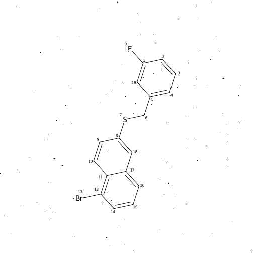 Fc1cccc(CSc2ccc3c(Br)cccc3c2)c1